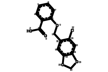 O=C(O)c1ccccc1OCc1cc2c(cc1Cl)OCO2